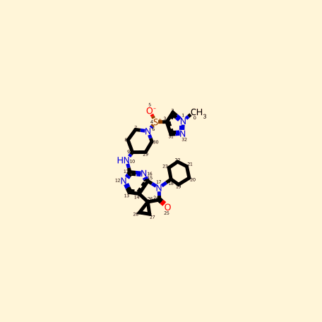 Cn1cc([S+]([O-])N2CCC(Nc3ncc4c(n3)N(C3CCCCC3)C(=O)C43CC3)CC2)cn1